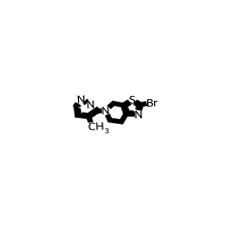 Cc1ccnnc1N1CCc2nc(Br)sc2C1